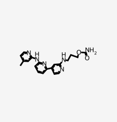 Cc1ccnc(Nc2cccc(-c3ccnc(NCCCOC(N)=O)c3)n2)c1